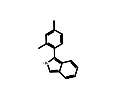 Cc1ccc(-c2[nH]cc3ccccc23)c(C)c1